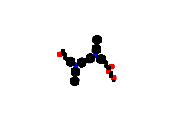 COCCOC(=O)CCc1ccc(N(c2ccc(-c3ccccc3)cc2)c2ccc(-c3ccc(N(c4ccc(CCC(C)=O)cc4)c4ccc(-c5ccccc5)cc4)cc3)cc2)cc1